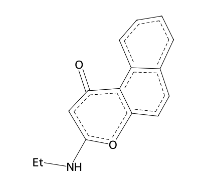 CCNc1cc(=O)c2c(ccc3ccccc32)o1